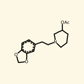 CC(=O)OC1CCCN(CCc2ccc3c(c2)OCO3)C1